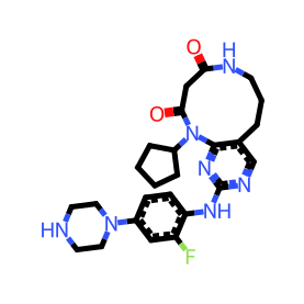 O=C1CC(=O)N(C2CCCC2)c2nc(Nc3ccc(N4CCNCC4)cc3F)ncc2CCCN1